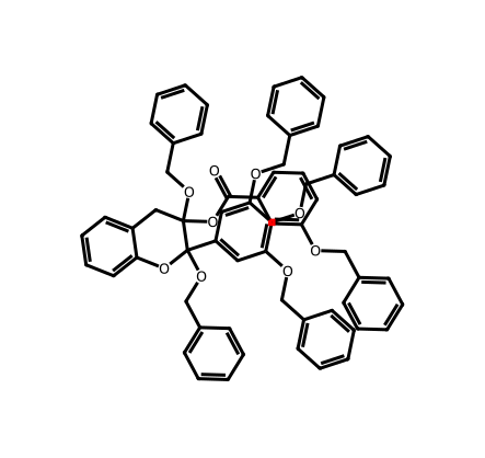 O=C(OC1(OCc2ccccc2)Cc2ccccc2OC1(OCc1ccccc1)c1cc(OCc2ccccc2)c(OCc2ccccc2)c(OCc2ccccc2)c1)c1cccc(OCc2ccccc2)c1